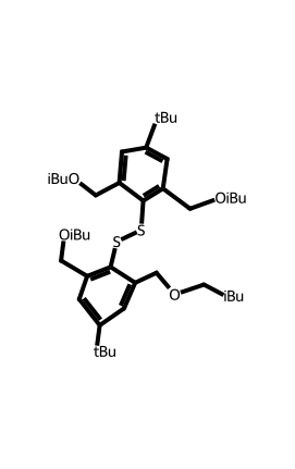 CCC(C)COCc1cc(C(C)(C)C)cc(COCC(C)C)c1SSc1c(COCC(C)C)cc(C(C)(C)C)cc1COCC(C)C